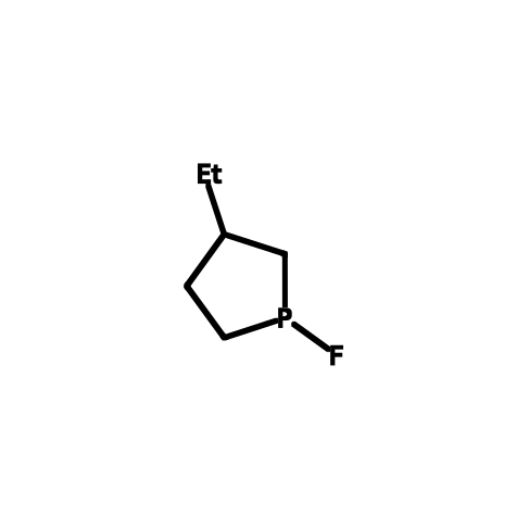 CCC1CCP(F)C1